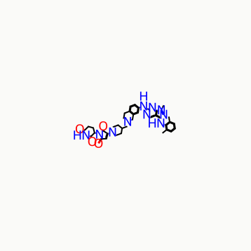 Cc1cccc(C)c1Nc1nn(C)c2nc(Nc3ccc4c(c3)CN(CC3CCN(C5=CC(=O)N(C6CCC(=O)NC6=O)C5=O)CC3)CC4)ncc12